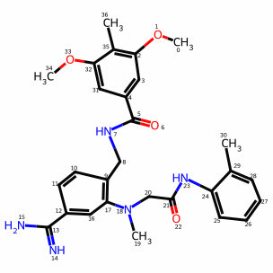 COc1cc(C(=O)NCc2ccc(C(=N)N)cc2N(C)CC(=O)Nc2ccccc2C)cc(OC)c1C